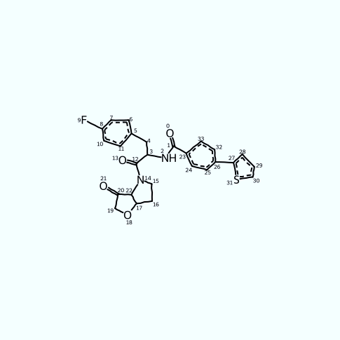 O=C(NC(Cc1ccc(F)cc1)C(=O)N1CCC2OCC(=O)C21)c1ccc(-c2cccs2)cc1